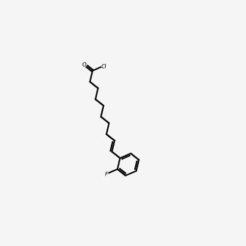 O=C(Cl)CCCCCCCC=Cc1ccccc1F